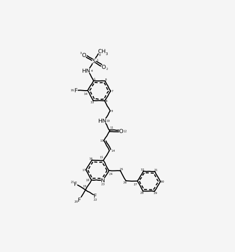 CS(=O)(=O)Nc1ccc(CNC(=O)/C=C/c2ccc(C(F)(F)F)nc2CCc2ccccc2)cc1F